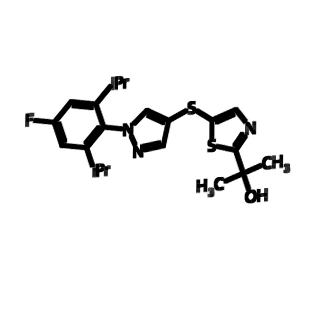 CC(C)c1cc(F)cc(C(C)C)c1-n1cc(Sc2cnc(C(C)(C)O)s2)cn1